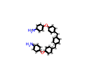 Nc1ccc(Oc2ccc(Cc3ccc(Cc4ccc(Oc5ccc(N)cc5)cc4)cc3)cc2)cc1